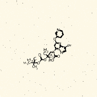 CC(C)(C)OC(=O)OC(C)(C)CN(C(=O)O)c1cc(Oc2cccnc2)nc2c(Br)cnn12